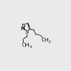 CCCCc1cnnn1CCC